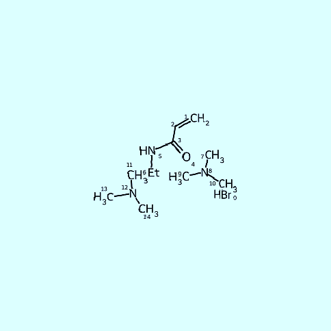 Br.C=CC(=O)NCC.CN(C)C.CN(C)C